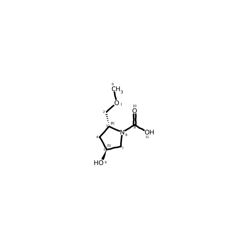 COC[C@H]1C[C@H](O)CN1C(=O)O